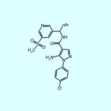 CCCC(NC(=O)c1cnn(-c2ccc(Cl)cc2)c1N)c1cncc(S(C)(=O)=O)c1